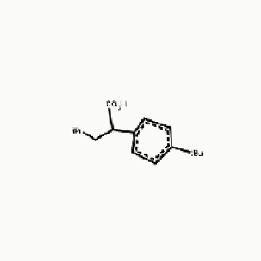 CC(C)CC(C(=O)O)c1ccc(C(C)(C)C)cc1